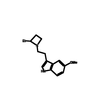 CCC1CCN1CCc1c[nH]c2ccc(OC)cc12